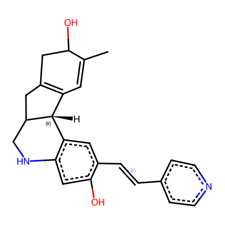 CC1=CC2=C(CC1O)CC1CNc3cc(O)c(/C=C/c4ccncc4)cc3[C@@H]21